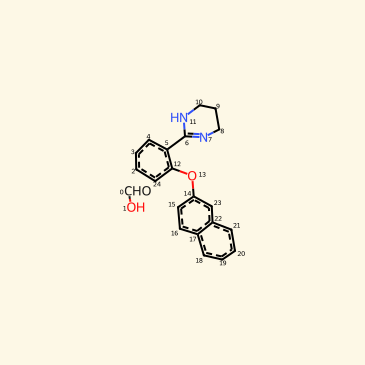 O=CO.c1ccc(C2=NCCCN2)c(Oc2ccc3ccccc3c2)c1